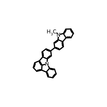 Cn1c2ccccc2c2ccc(-c3ccc4c5cccc6c7ccccc7n(c4c3)c65)cc21